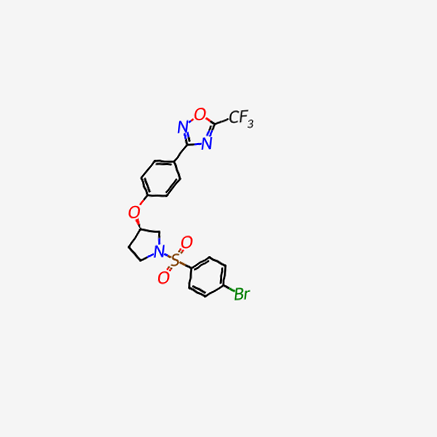 O=S(=O)(c1ccc(Br)cc1)N1CC[C@@H](Oc2ccc(-c3noc(C(F)(F)F)n3)cc2)C1